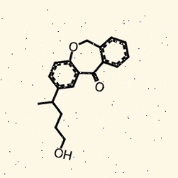 CC(CCCO)c1ccc2c(c1)C(=O)c1ccccc1CO2